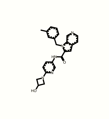 Cc1cccc(Cn2c(C(=O)Nc3ccc(N4CC(O)C4)nc3)cc3ccncc32)c1